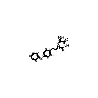 O=c1[nH]c(=O)n(CCc2ccc(Oc3ccccc3)cc2)nc1O